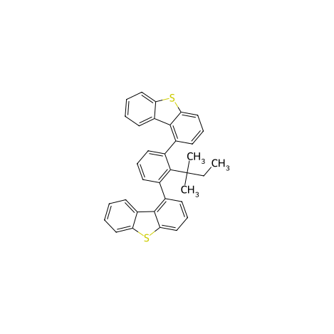 CCC(C)(C)c1c(-c2cccc3sc4ccccc4c23)cccc1-c1cccc2sc3ccccc3c12